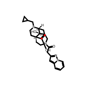 O=C(Cc1cc2ccccn2n1)N1CC[C@]23CCN(CC4CC4)[C@H](Cc4ccc(O)cc42)[C@]3(O)CC1